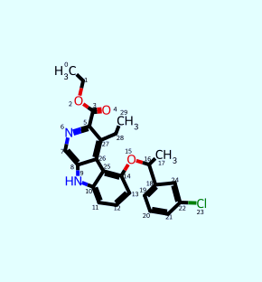 CCOC(=O)c1ncc2[nH]c3cccc(OC(C)c4cccc(Cl)c4)c3c2c1CC